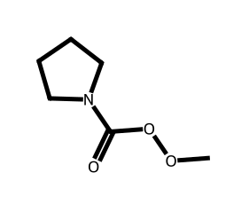 COOC(=O)N1CCCC1